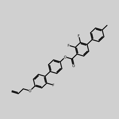 C=CCOc1ccc(-c2ccc(OC(=O)c3ccc(-c4ccc(C)cc4)c(F)c3F)cc2)c(F)c1